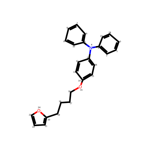 c1ccc(N(c2ccccc2)c2ccc(OCCCCc3ccco3)cc2)cc1